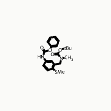 CSc1ccc(NC(=O)Oc2ccccc2)cc1CN(C)C(=O)OC(C)(C)C